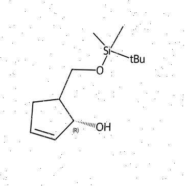 CC(C)(C)[Si](C)(C)OCC1CC=C[C@H]1O